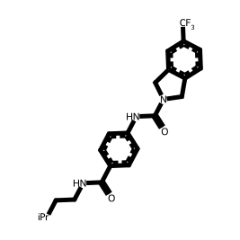 CC(C)CCNC(=O)c1ccc(NC(=O)N2Cc3ccc(C(F)(F)F)cc3C2)cc1